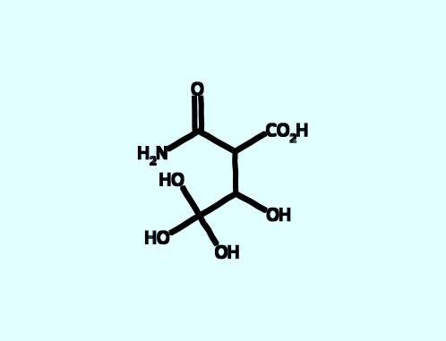 NC(=O)C(C(=O)O)C(O)C(O)(O)O